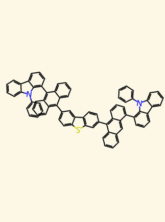 c1ccc(-n2c3ccccc3c3cccc(-c4cccc5c(-c6ccc7c(c6)sc6ccc(-c8c9ccccc9c(-c9cccc%10c%11ccccc%11n(-c%11ccccc%11)c9%10)c9ccccc89)cc67)c6ccccc6cc45)c32)cc1